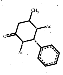 CC(=O)C1C(=O)CC(C)C(C(C)=O)C1c1ccccc1